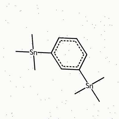 [CH3][Sn]([CH3])([CH3])[c]1ccc[c]([Sn]([CH3])([CH3])[CH3])c1